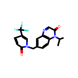 CC(C)n1c(=O)cnc2cc(Cn3cc(C(F)(F)F)ccc3=O)ccc21